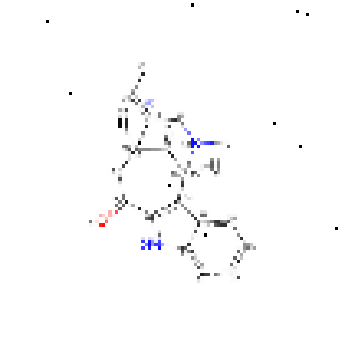 C=C1[C@H]2CC(=O)c3[nH]c4ccccc4c3[C@@H]1N(C)C/C2=C\C